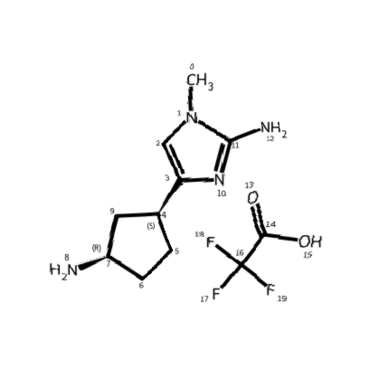 Cn1cc([C@H]2CC[C@@H](N)C2)nc1N.O=C(O)C(F)(F)F